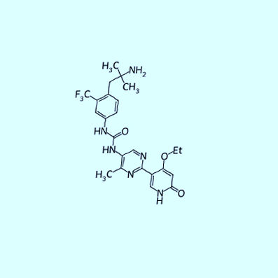 CCOc1cc(=O)[nH]cc1-c1ncc(NC(=O)Nc2ccc(CC(C)(C)N)c(C(F)(F)F)c2)c(C)n1